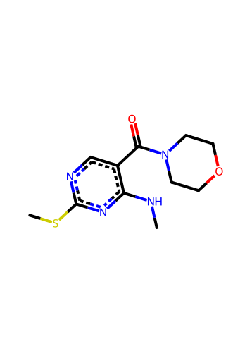 CNc1nc(SC)ncc1C(=O)N1CCOCC1